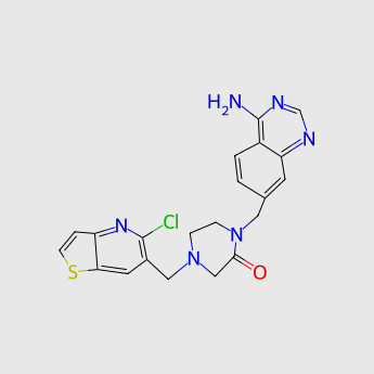 Nc1ncnc2cc(CN3CCN(Cc4cc5sccc5nc4Cl)CC3=O)ccc12